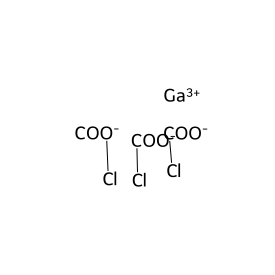 O=C([O-])Cl.O=C([O-])Cl.O=C([O-])Cl.[Ga+3]